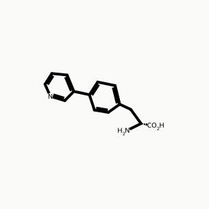 N[C@H](Cc1ccc(-c2cccnc2)cc1)C(=O)O